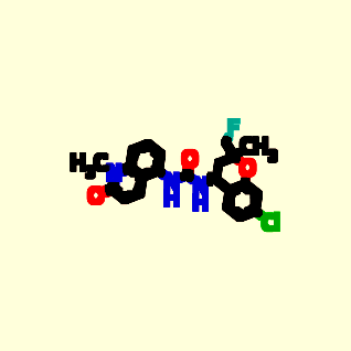 Cn1c(=O)ccc2c(NC(=O)N[C@@H]3C[C@](C)(CF)Oc4cc(Cl)ccc43)cccc21